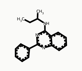 CCC(C)Nc1nc(-c2ccccc2)nc2ccccc12